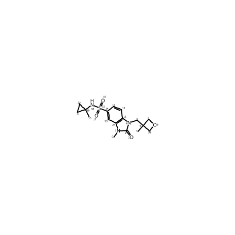 Cn1c(=O)n(CC2(C)COC2)c2ccc(S(=O)(=O)NC3(C)CC3)cc21